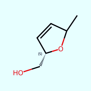 CC1C=C[C@@H](CO)O1